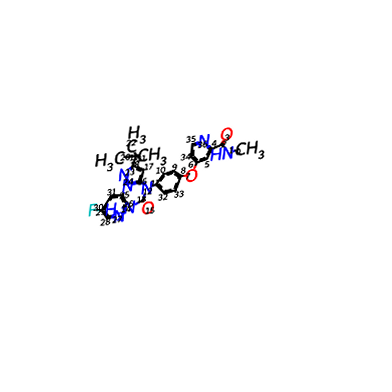 CNC(=O)c1cc(Oc2ccc(N(C(N)=O)c3cc(C(C)(C)C)nn3-c3cncc(F)c3)cc2)ccn1